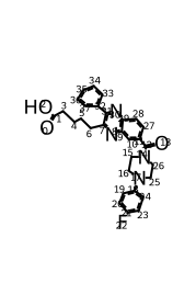 O=C(O)CCCCc1nc2cc(C(=O)N3CCN(c4ccc(F)cc4)CC3)ccc2nc1-c1ccccc1